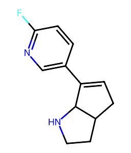 Fc1ccc(C2=CCC3CCNC23)cn1